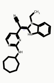 CCN1/C(=C(\C#N)c2ccnc(NC3CCCCCC3)n2)Nc2ccccc21